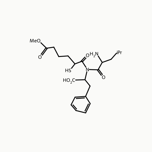 COC(=O)CCCC(S)C(=O)N(C(=O)C(N)CC(C)C)C(Cc1ccccc1)C(=O)O